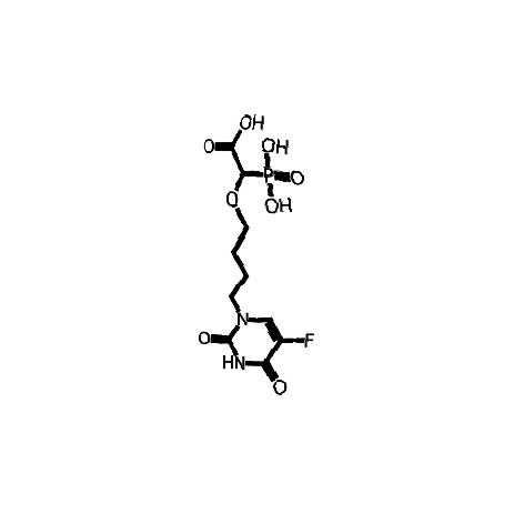 O=C(O)C(OCCCCn1cc(F)c(=O)[nH]c1=O)P(=O)(O)O